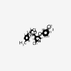 Cc1ccc(C[C@H](CCl)NC(=O)c2cc(Cl)ncc2Oc2cccc(C(F)(F)F)c2)cc1